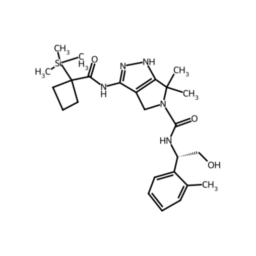 Cc1ccccc1[C@@H](CO)NC(=O)N1Cc2c(NC(=O)C3([Si](C)(C)C)CCC3)n[nH]c2C1(C)C